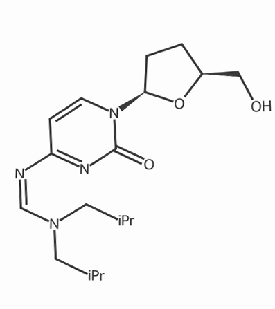 CC(C)CN(/C=N\c1ccn([C@H]2CC[C@@H](CO)O2)c(=O)n1)CC(C)C